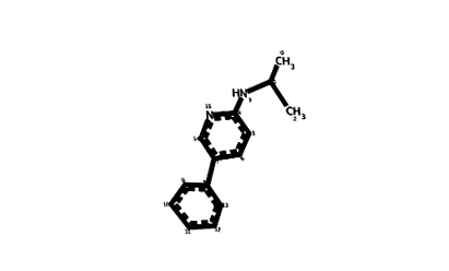 CC(C)Nc1ccc(-c2c[c]ccc2)cn1